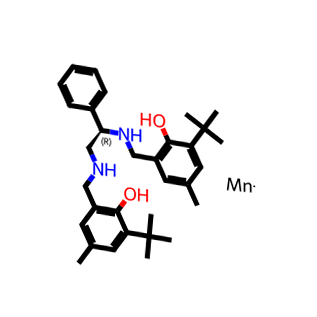 Cc1cc(CNC[C@H](NCc2cc(C)cc(C(C)(C)C)c2O)c2ccccc2)c(O)c(C(C)(C)C)c1.[Mn]